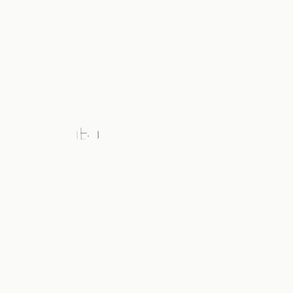 [CH2]C(CC)c1c2ccccc2cc2ccccc12